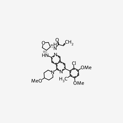 C=CC(=O)N[C@H]1COC[C@H]1Nc1cc2c(N3CCC(OC)CC3)nc(-c3c(C)c(OC)cc(OC)c3Cl)cc2cn1